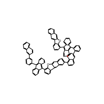 c1cc(-c2ccc3ccccc3c2)cc(-c2c3ccccc3c(-c3cccc4c3oc3cc5ccc(-c6cccc7cc(-c8ccccc8-c8c9ccccc9c(-c9cccc%10c9oc9cc%11ccccc%11cc9%10)c9ccccc89)ccc67)cc5cc34)c3ccccc23)c1